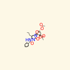 CCCc1cn([C@@H]2O[C@H](COC(C)=O)C[C@H]2OC(C)=O)c(=O)nc1NC(=O)c1ccccc1